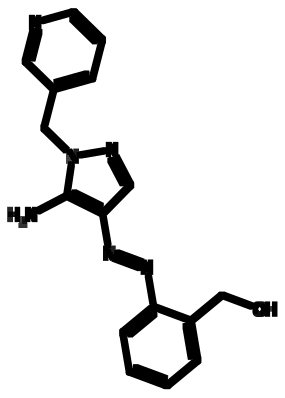 Nc1c(N=Nc2ccccc2CO)cnn1Cc1cccnc1